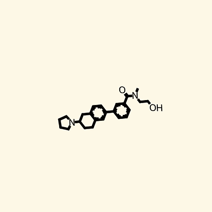 CN(CCO)C(=O)c1cccc(-c2ccc3c(c2)CCC(N2CCCC2)C3)c1